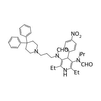 CCC1=C(N(C=O)CCCN2CCC(c3ccccc3)(c3ccccc3)CC2)C(c2ccc([N+](=O)[O-])cc2)C(N(C=O)C(C)C)=C(CC)N1